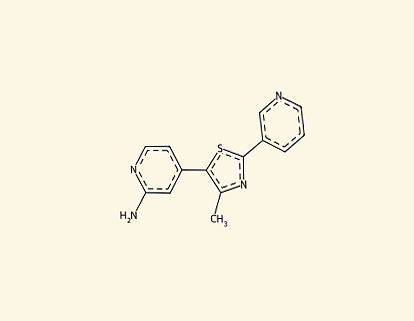 Cc1nc(-c2cccnc2)sc1-c1ccnc(N)c1